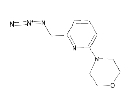 [N-]=[N+]=NCc1cccc(N2CCOCC2)n1